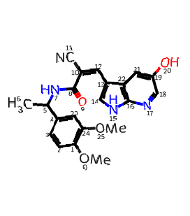 COc1ccc(C(C)NC(=O)C(C#N)=Cc2c[nH]c3ncc(O)cc23)cc1OC